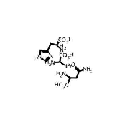 CC(C)C(N)C(=O)O.NC(=O)CC(N)C(=O)O.NC(Cc1c[nH]cn1)C(=O)O